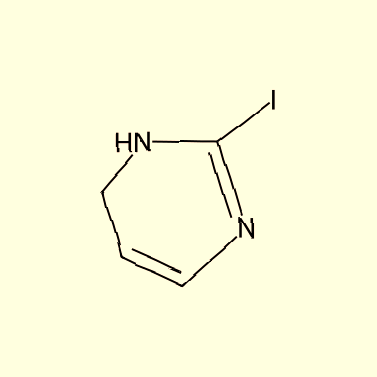 IC1=NC=CCN1